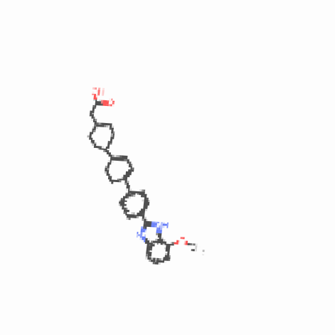 COc1cccc2nc(-c3ccc(C4=CC=C(C5CCC(CC(=O)O)CC5)CC4)cc3)[nH]c12